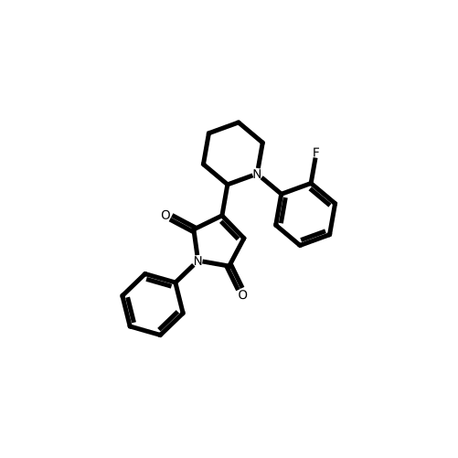 O=C1C=C(C2CCCCN2c2ccccc2F)C(=O)N1c1ccccc1